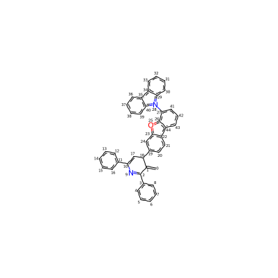 C=C1C(c2ccccc2)=NC(c2ccccc2)=CC1c1ccc2c(c1)oc1c(-n3c4ccccc4c4ccccc43)cccc12